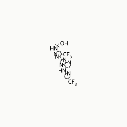 CC(C)(CO)Nc1cc(C(F)(F)F)c(-c2cnc3c(Nc4ccc(C(F)(F)F)cn4)ccnc3n2)nn1